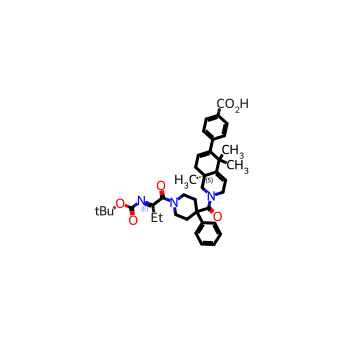 CC/C(=N\C(=O)OC(C)(C)C)C(=O)N1CCC(C(=O)N2CC=C3C(C)(C)C(c4ccc(C(=O)O)cc4)=CC[C@]3(C)C2)(c2ccccc2)CC1